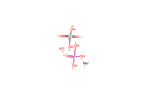 O=P(O)(O)O.[Na+].[OH-].[O]=[Cr](=[O])([OH])[OH]